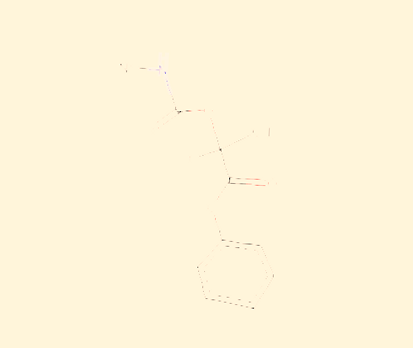 CC(C)(OC(=O)NC#N)C(=O)Oc1ccccc1